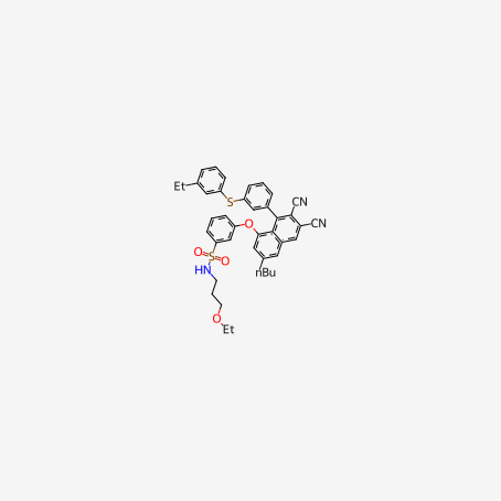 CCCCc1cc(Oc2cccc(S(=O)(=O)NCCCOCC)c2)c2c(-c3cccc(Sc4cccc(CC)c4)c3)c(C#N)c(C#N)cc2c1